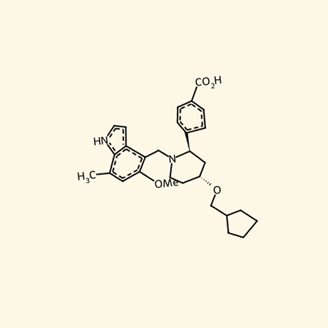 COc1cc(C)c2[nH]ccc2c1CN1CC[C@@H](OCC2CCCC2)C[C@@H]1c1ccc(C(=O)O)cc1